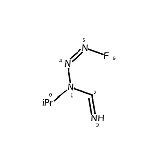 CC(C)N(C=N)/N=N\F